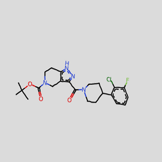 CC(C)(C)OC(=O)N1CCc2[nH]nc(C(=O)N3CCC(c4cccc(F)c4Cl)CC3)c2C1